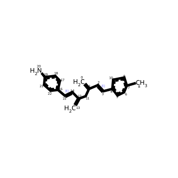 C=C(/C=C/c1ccc(C)cc1)CC(=C)/C=C/c1ccc(N)cc1